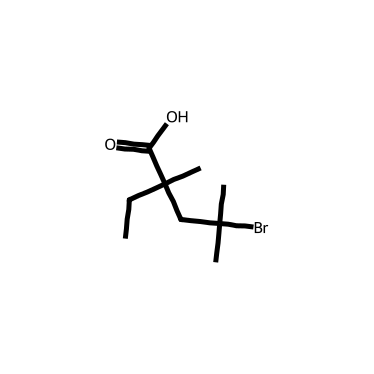 CCC(C)(CC(C)(C)Br)C(=O)O